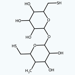 CC1C(CS)OC(OC2OC(CS)C(O)C(O)C2O)C(O)C1O